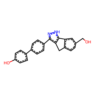 OCc1ccc2c(c1)-c1[nH]nc(-c3ccc(-c4ccc(O)cc4)cc3)c1C2